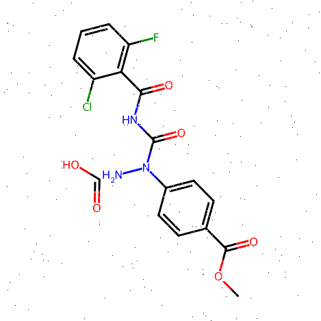 COC(=O)c1ccc(N(N)C(=O)NC(=O)c2c(F)cccc2Cl)cc1.O=CO